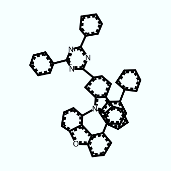 c1ccc(-c2ccc(-c3cccc4oc5cccc(-n6c7ccccc7c7ccc(-c8nc(-c9ccccc9)nc(-c9ccccc9)n8)cc76)c5c34)cc2)cc1